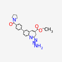 CCOC(=O)C1=Cc2cc(-c3ccc(C(=O)N4CCCC4)cc3)ccc2N=C(N=NN)C1